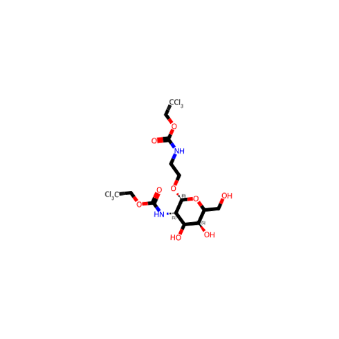 O=C(NCCO[C@@H]1OC(CO)[C@@H](O)C(O)[C@@H]1NC(=O)OCC(Cl)(Cl)Cl)OCC(Cl)(Cl)Cl